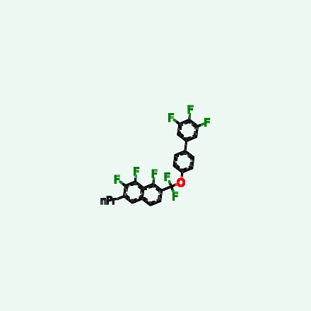 CCCc1cc2ccc(C(F)(F)Oc3ccc(-c4cc(F)c(F)c(F)c4)cc3)c(F)c2c(F)c1F